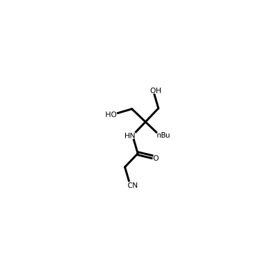 CCCCC(CO)(CO)NC(=O)CC#N